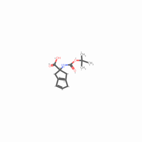 CC(C)(C)OC(=O)NC1(C(=O)O)CC2=C(CC=C2)C1